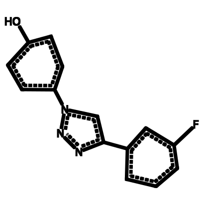 Oc1ccc(-n2cc(-c3cccc(F)c3)nn2)cc1